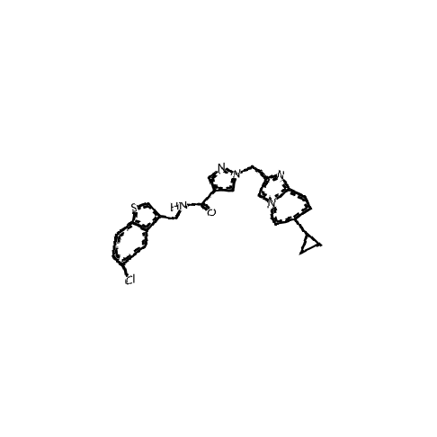 O=C(NCc1csc2ccc(Cl)cc12)c1cnn(Cc2cn3cc(C4CC4)ccc3n2)c1